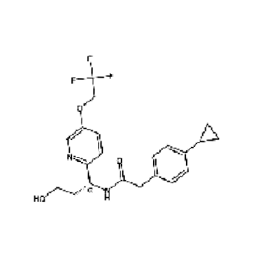 O=C(Cc1ccc(C2CC2)cc1)N[C@H](CCO)c1ccc(OCC(F)(F)F)cn1